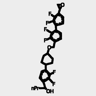 CCCC(O)c1ccc(C2CCC(OCc3ccc(-c4ccc(C5CO5)c(F)c4F)c(F)c3F)CC2)c(F)c1F